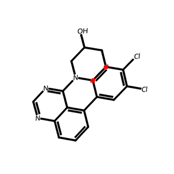 OC1CCCN(c2ncnc3cccc(-c4ccc(Cl)c(Cl)c4)c23)C1